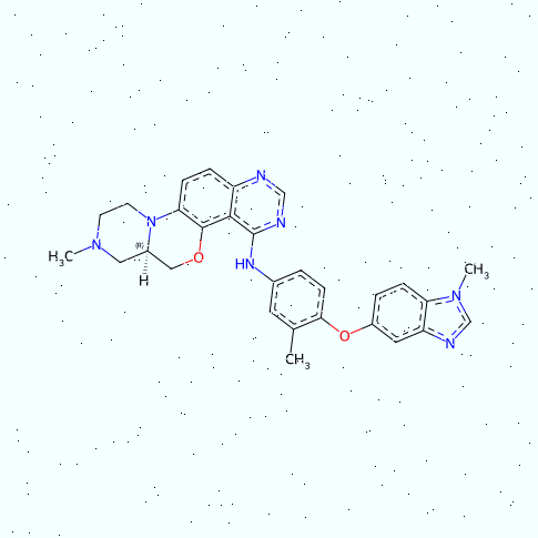 Cc1cc(Nc2ncnc3ccc4c(c23)OC[C@H]2CN(C)CCN42)ccc1Oc1ccc2c(c1)ncn2C